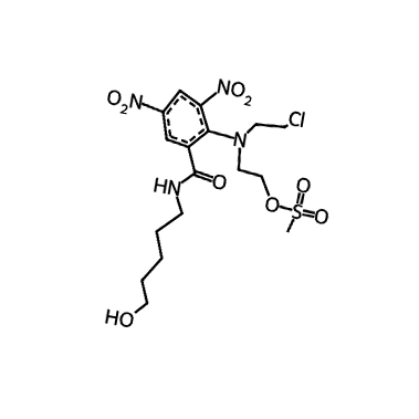 CS(=O)(=O)OCCN(CCCl)c1c(C(=O)NCCCCCO)cc([N+](=O)[O-])cc1[N+](=O)[O-]